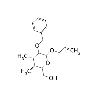 C=CCO[C@@H]1OC(CO)[C@@H](C)[C@H](C)C1OCc1ccccc1